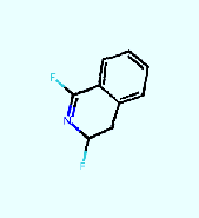 FC1=NC(F)Cc2ccccc21